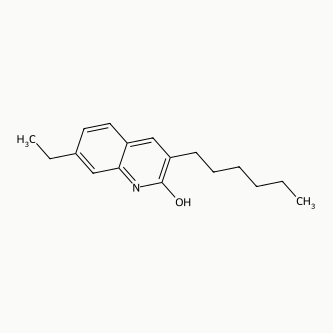 CCCCCCc1cc2ccc(CC)cc2nc1O